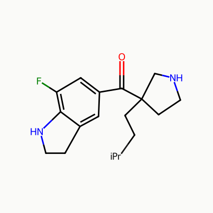 CC(C)CCC1(C(=O)c2cc(F)c3c(c2)CCN3)CCNC1